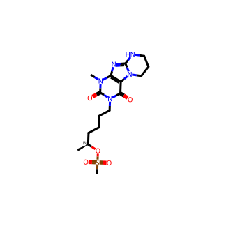 C[C@@H](CCCCn1c(=O)c2c(nc3n2CCCN3)n(C)c1=O)OS(C)(=O)=O